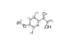 C=C(O)C(=O)c1cc(I)c(OC(C)C)cc1C